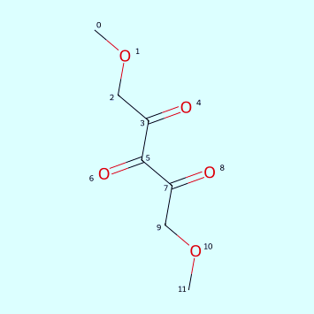 COCC(=O)C(=O)C(=O)COC